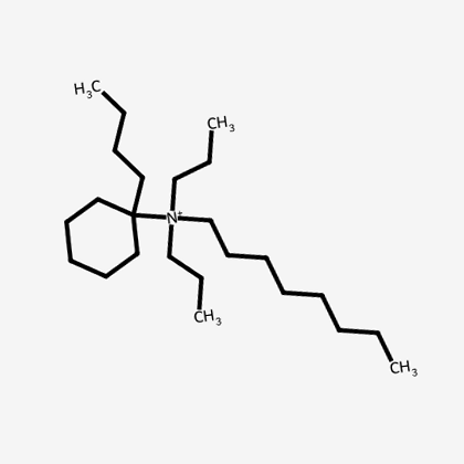 CCCCCCCC[N+](CCC)(CCC)C1(CCCC)CCCCC1